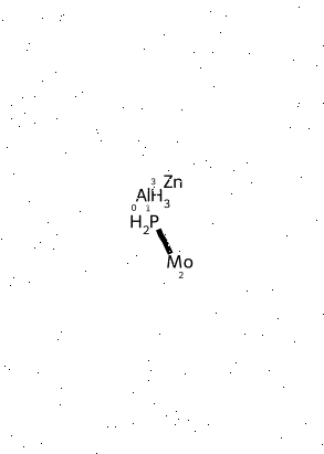 [AlH3].[PH2][Mo].[Zn]